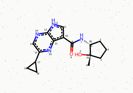 C[C@]1(O)CCC[C@H]1NC(=O)c1c[nH]c2ncc(C3CC3)nc12